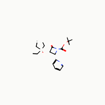 CC[Si](CC)(CC)O[C@@H]1C(=O)N(C(=O)OC(C)(C)C)[C@@H]1c1ccccn1